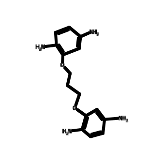 Nc1ccc(N)c(OCCCOc2cc(N)ccc2N)c1